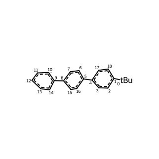 CC(C)(C)c1ccc(-c2ccc(-c3[c]cccc3)cc2)cc1